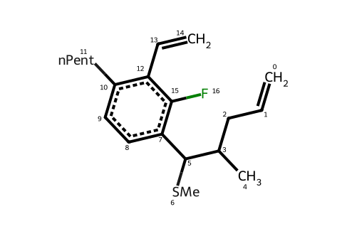 C=CCC(C)C(SC)c1ccc(CCCCC)c(C=C)c1F